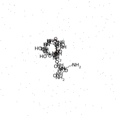 CC[C@@H](C)[C@@H]1NC2(OCCCCCCNC(=O)OCc3ccc(NC(=O)[C@@H](CCCNC(N)=O)NC(=O)[C@H](NC(=O)CCCCCN)C(C)C)cc3)C(=O)CNC(=O)[C@H]3Cc4c([nH]c5cc2ccc45)[S+]([O-])C[C@@H](NC(=O)CNC1=O)C(=O)N[C@@H](CC(N)=O)C(=O)N1C[C@H](O)C[C@H]1C(=O)N[C@@H]([C@@H](C)[C@H](O)CO)C(=O)N3